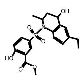 CCc1ccc2c(c1)C(O)CC(C)N2S(=O)(=O)c1ccc(O)c(C(=O)OC)c1